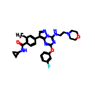 Cc1cc(-c2cnn3c(NCCN4CCOCC4)nc(Oc4cccc(F)c4)nc23)ccc1C(=O)NC1CC1